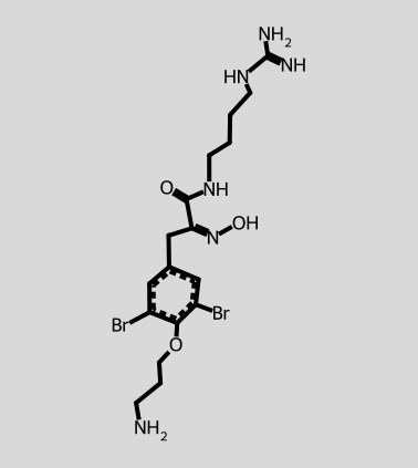 N=C(N)NCCCCNC(=O)C(Cc1cc(Br)c(OCCCN)c(Br)c1)=NO